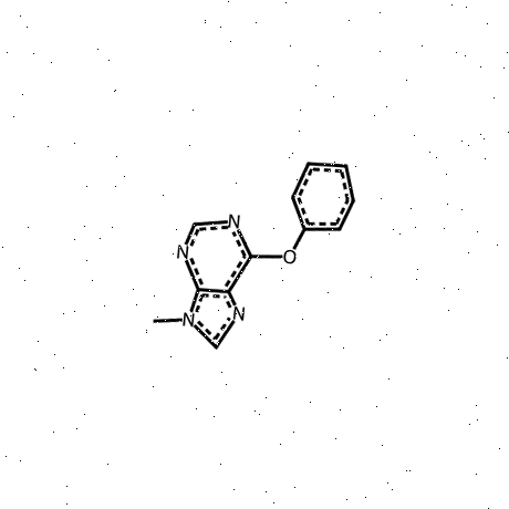 Cn1cnc2c(Oc3ccccc3)ncnc21